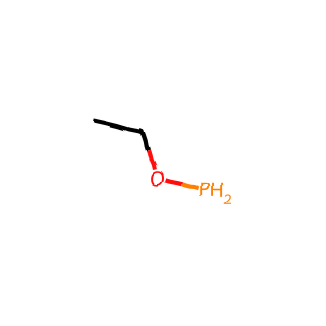 CCOP